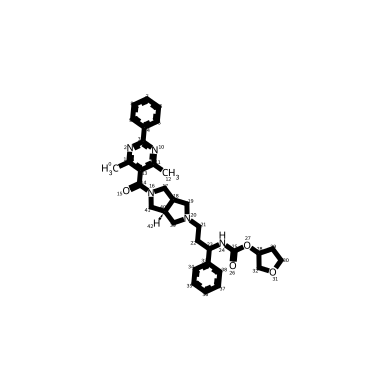 Cc1nc(-c2ccccc2)nc(C)c1C(=O)N1CC2CN(CCC(NC(=O)OC3CCOC3)c3ccccc3)C[C@H]2C1